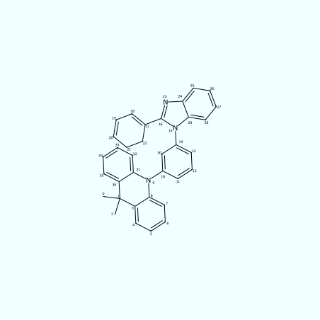 CC1(C)c2ccccc2N(c2cccc(-n3c(C4=CC=CCC4)nc4ccccc43)c2)c2ccccc21